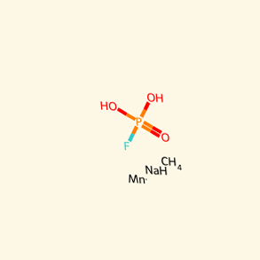 C.O=P(O)(O)F.[Mn].[NaH]